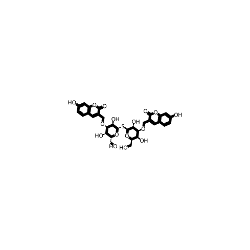 O=c1oc2cc(O)ccc2cc1CO[C@H]1[C@@H](O)[C@@H](CO)O[C@@H](S[C@@H]2O[C@H](CO)[C@H](O)[C@H](OCc3cc4ccc(O)cc4oc3=O)[C@H]2O)[C@@H]1O